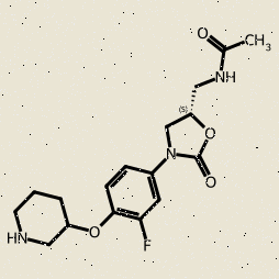 CC(=O)NC[C@H]1CN(c2ccc(OC3CCCNC3)c(F)c2)C(=O)O1